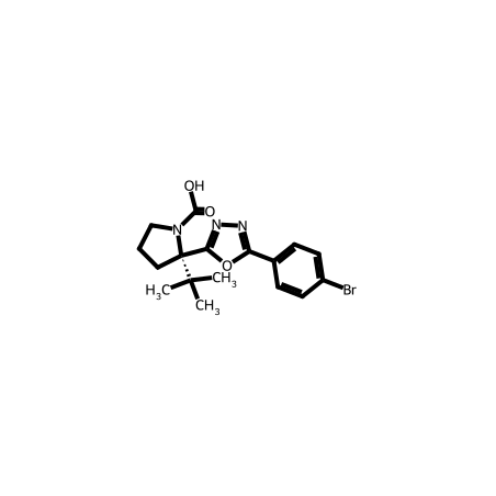 CC(C)(C)[C@]1(c2nnc(-c3ccc(Br)cc3)o2)CCCN1C(=O)O